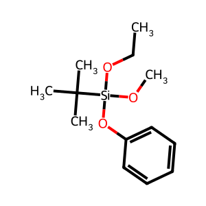 CCO[Si](OC)(Oc1ccccc1)C(C)(C)C